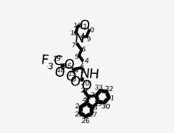 O=C(N[C@@H](CCCCN1CCOCC1)C(=O)OC(=O)C(F)(F)F)OCC1c2ccccc2-c2ccccc21